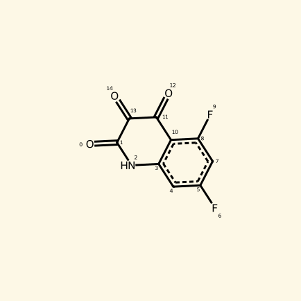 O=C1Nc2cc(F)cc(F)c2C(=O)C1=O